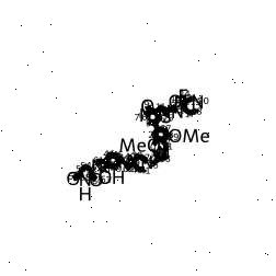 COc1cc(-c2cn(C)c(=O)c3cc(C(=O)NC4CCN(C)CC4(F)F)sc23)cc(OC)c1CN1CC(CN2CCC3(CC2)CN(c2ccc4c(c2)C(O)N(C2CCC(=O)NC2=O)C4)C3)C1